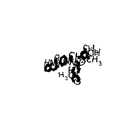 C=C(N[C@H](Cc1cc(C)c(O)c(C)c1)C(=O)N1CCN(C2(C)CCOCC2)CC1)N1CCC(N2CCc3ccccc3NC2=O)CC1